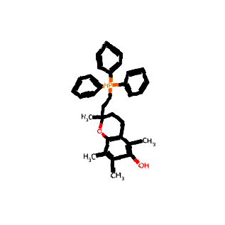 Cc1c(C)c2c(c(C)c1O)CCC(C)(CC[PH](c1ccccc1)(c1ccccc1)c1ccccc1)O2